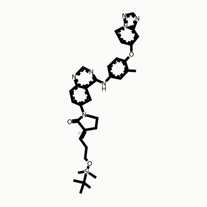 Cc1cc(Nc2ncnc3ccc(N4CC/C(=C\CCO[Si](C)(C)C(C)(C)C)C4=O)cc23)ccc1Oc1ccn2ncnc2c1